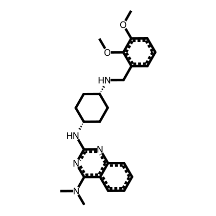 COc1cccc(CN[C@H]2CC[C@@H](Nc3nc(N(C)C)c4ccccc4n3)CC2)c1OC